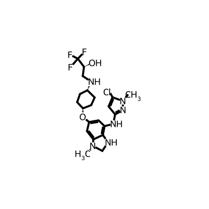 CN1CNc2c(Nc3cc(Cl)n(C)n3)cc(O[C@H]3CC[C@@H](NC[C@@H](O)C(F)(F)F)CC3)cc21